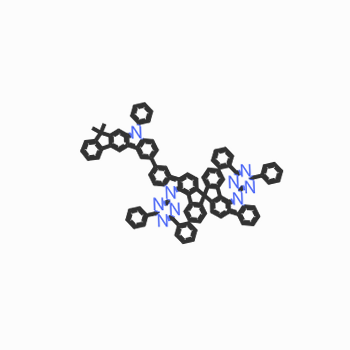 CC1(C)c2ccccc2-c2cc3c4cc(-c5ccc6c(c5)c5ccc7c(c5n6-c5nc(-c6ccccc6)nc(-c6ccccc6)n5)-c5ccccc5C75c6ccccc6-c6c5ccc5c7ccccc7n(-c7nc(-c8ccccc8)nc(-c8ccccc8)n7)c65)ccc4n(-c4ccccc4)c3cc21